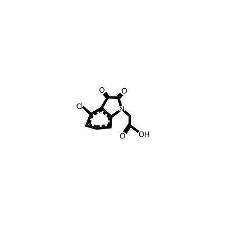 O=C(O)CN1C(=O)C(=O)c2c(Cl)cccc21